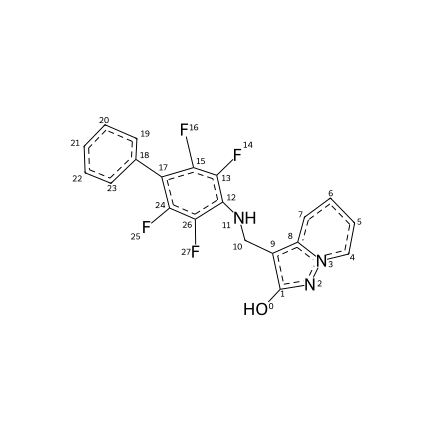 Oc1nn2ccccc2c1CNc1c(F)c(F)c(-c2ccccc2)c(F)c1F